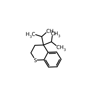 CC(C)C1(C(C)C)CCSc2ccccc21